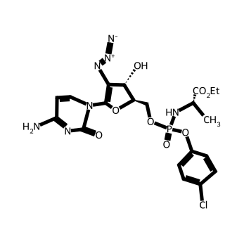 CCOC(=O)[C@H](C)NP(=O)(OC[C@H]1OC(n2ccc(N)nc2=O)=C(N=[N+]=[N-])[C@@H]1O)Oc1ccc(Cl)cc1